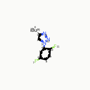 CC[C@@H](C)c1cn(-c2cc(F)ccc2F)nn1